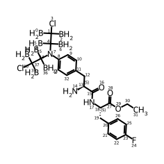 BC(B)(Cl)C(B)(B)N(c1ccc(C[C@H](N)C(=O)N[C@@H](Cc2ccc(F)cc2)C(=O)OCC)cc1)C(B)(B)C(B)(B)Cl